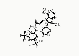 COc1ncnc2c1c(/C=C/C(=O)N1CCc3c(nc(C(F)(F)F)nc3C(F)(F)F)C1)c(-c1ncccn1)n2C